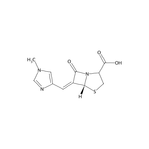 Cn1cnc(C=C2C(=O)N3C(C(=O)O)CS[C@H]23)c1